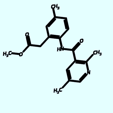 COC(=O)Cc1cc(C)ccc1NC(=O)c1cc(C)cnc1C